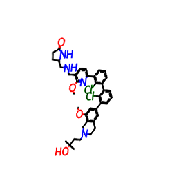 COc1cc(-c2cccc(-c3cccc(-c4ccc(CNCC5CCC(=O)N5)c(OC)n4)c3Cl)c2Cl)cc2c1CN(CCC(C)(C)O)CC2